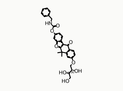 CC1(C)c2cc(OC[C@@H](O)[C@H](O)CO)ccc2C(=O)c2c1oc1cc(OC(=O)NCc3ccccc3)ccc21